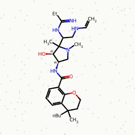 C=CNCC(NC(=N)CC)C1(C)[C@H](O)[C@H](NC(=O)c2cccc3c2OCCC3(C)CCCC)CN1C